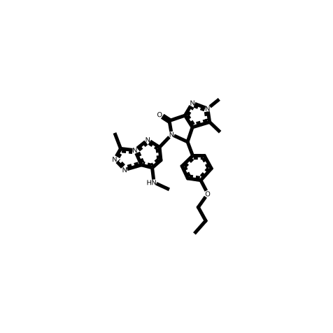 CCCOc1ccc(C2c3c(nn(C)c3C)C(=O)N2c2cc(NC)c3nnc(C)n3n2)cc1